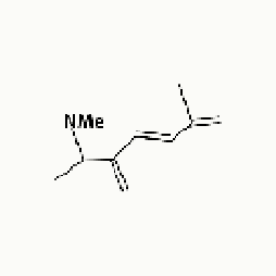 C=C(C)C=CC(=C)C(C)NC